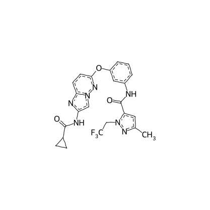 Cc1cc(C(=O)Nc2cccc(Oc3ccc4nc(NC(=O)C5CC5)cn4n3)c2)n(CC(F)(F)F)n1